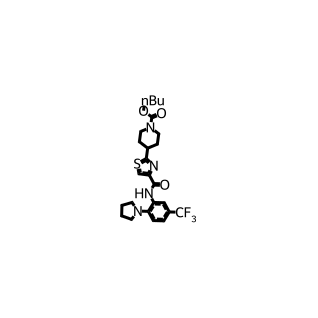 CCCCOC(=O)N1CCC(c2nc(C(=O)Nc3cc(C(F)(F)F)ccc3N3CCCC3)cs2)CC1